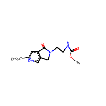 CCOC(=O)c1cc2c(cn1)CN(CCNC(=O)OC(C)(C)C)C2=O